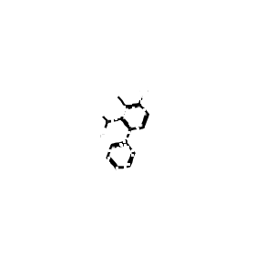 Cc1c(O)ccc(-c2ccccc2)c1C(F)F